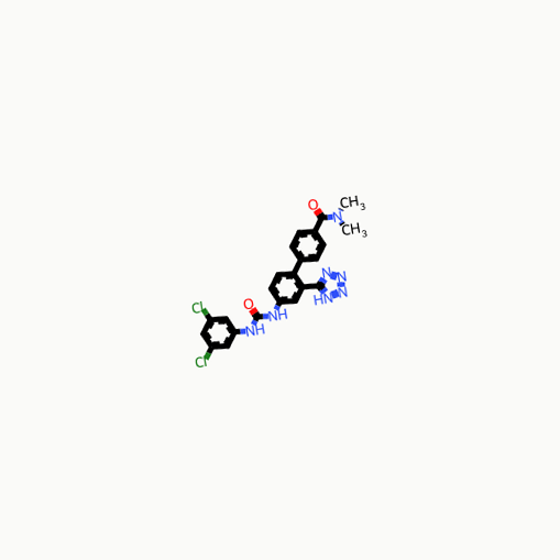 CN(C)C(=O)c1ccc(-c2ccc(NC(=O)Nc3cc(Cl)cc(Cl)c3)cc2-c2nnn[nH]2)cc1